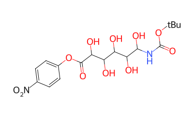 CC(C)(C)OC(=O)NC(O)C(O)C(O)C(O)C(O)C(=O)Oc1ccc([N+](=O)[O-])cc1